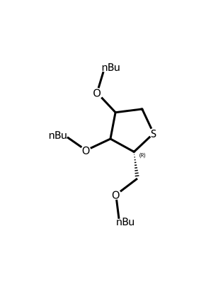 CCCCOC[C@H]1SCC(OCCCC)C1OCCCC